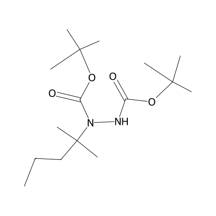 CCCC(C)(C)N(NC(=O)OC(C)(C)C)C(=O)OC(C)(C)C